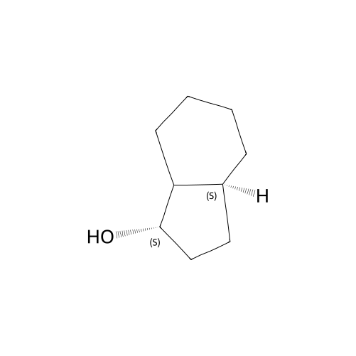 O[C@H]1CC[C@@H]2CCCCC21